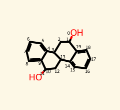 OC1CC2c3ccccc3C(O)CC2c2ccccc21